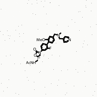 COc1cc(CN(C)Cc2ccncc2)ccc1-c1ccc(N2C[C@H](CNC(C)=O)OC2=O)cc1F